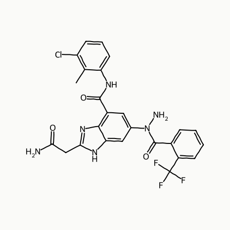 Cc1c(Cl)cccc1NC(=O)c1cc(N(N)C(=O)c2ccccc2C(F)(F)F)cc2[nH]c(CC(N)=O)nc12